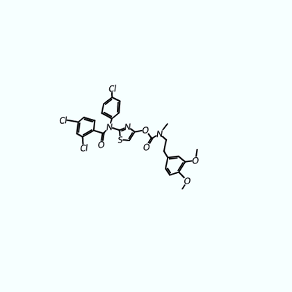 COc1ccc(CCN(C)C(=O)Oc2csc(N(C(=O)c3ccc(Cl)cc3Cl)c3ccc(Cl)cc3)n2)cc1OC